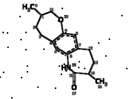 CC1CCc2cc3c(cc2OC1)CCC(C)C(=O)N3